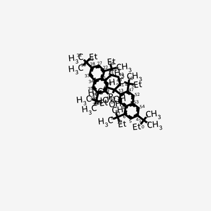 CCC(C)(C)c1cc(C(C)(C)CC)c2cc(C3(P(O)(O)(O)c4cc5c(C(C)(C)CC)cc(C(C)(C)CC)cc5cc4C(C)(C)CC)CCCCC3C)c(C(C)(C)CC)cc2c1